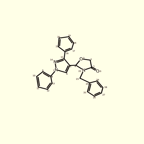 O=C1COC(c2cn(-c3ccccc3)nc2-c2ccccc2)N1Cc1ccccc1